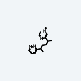 C=N/C=C(\N=C/C)C(C)CCC(C)c1cccnn1